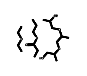 CC(O)COC(C)COC(C)CO.CCCOC(=O)CC.CCOCC